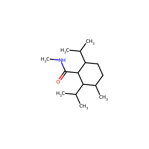 CNC(=O)C1C(C(C)C)CCC(C)C1C(C)C